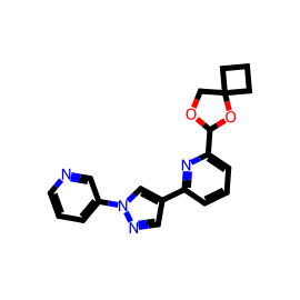 c1cncc(-n2cc(-c3cccc(C4OCC5(CCC5)O4)n3)cn2)c1